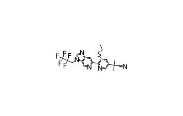 CCSc1cc(C(C)(C)C#N)cnc1-c1cc2ncn(CC(F)(F)C(F)(F)F)c2cn1